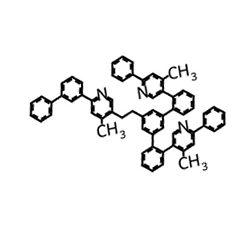 Cc1cc(-c2cccc(-c3ccccc3)c2)ncc1CCc1cc(-c2ccccc2-c2cnc(-c3ccccc3)cc2C)cc(-c2ccccc2-c2cnc(-c3ccccc3)cc2C)c1